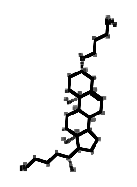 CC(C)CCC[C@@H](C)C1CCC2C3CC=C4C[C@@H](OCCCN)CC[C@]4(C)C3CC[C@@]21C